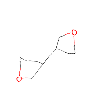 C1OCC1C1COC1